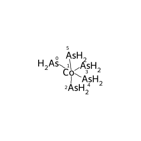 [AsH2][Co]([AsH2])([AsH2])([AsH2])[AsH2]